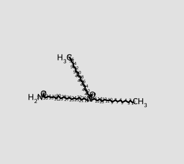 CCCCCCCCCCCCCCCCCCN(CCCCCCCCCCCCCCCCCC(N)=O)C(=O)CCCCCCCCCCCCCCCCC